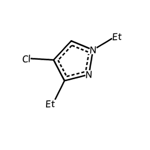 CCc1nn(CC)cc1Cl